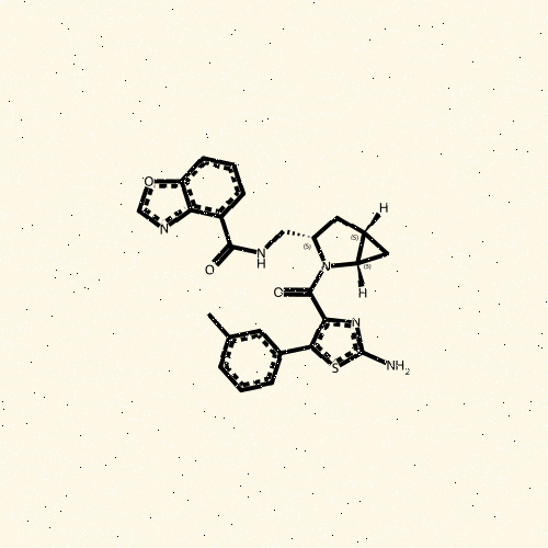 Cc1cccc(-c2sc(N)nc2C(=O)N2[C@H](CNC(=O)c3cccc4ocnc34)C[C@@H]3C[C@@H]32)c1